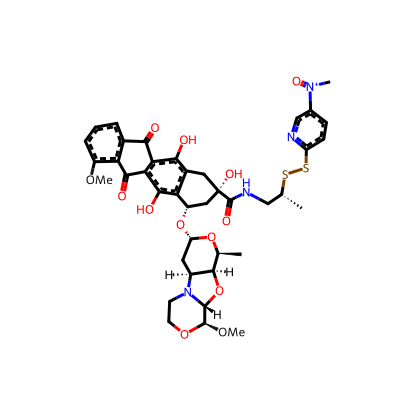 COc1cccc2c1C(=O)c1c(O)c3c(c(O)c1C2=O)C[C@@](O)(C(=O)NC[C@@H](C)SSc1ccc([N+](C)=O)cn1)C[C@@H]3O[C@H]1C[C@H]2[C@H](O[C@@H]3[C@@H](OC)OCCN32)[C@H](C)O1